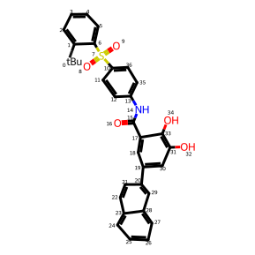 CC(C)(C)c1ccccc1S(=O)(=O)c1ccc(NC(=O)c2cc(-c3ccc4ccccc4c3)cc(O)c2O)cc1